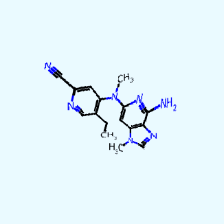 CCc1cnc(C#N)cc1N(C)c1cc2c(ncn2C)c(N)n1